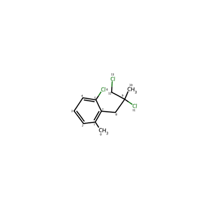 Cc1cccc(Cl)c1CC(C)(Cl)CCl